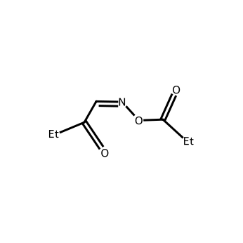 CCC(=O)/C=N\OC(=O)CC